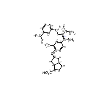 Cc1nc(/C(N)=C(\COc2nccc(C(F)F)n2)N(C)N)ccc1OC1CC2CCC(C(=O)O)C2C1